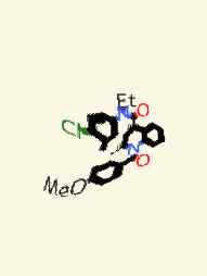 CCN(C(=O)[C@@H]1C[C@@H](C)N(C(=O)c2ccc(OC)cc2)c2ccccc21)c1ccc(Cl)c(C)c1